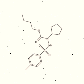 CCCCOC(=O)N(NS(=O)(=O)c1ccc(C)cc1)C1CCCC1